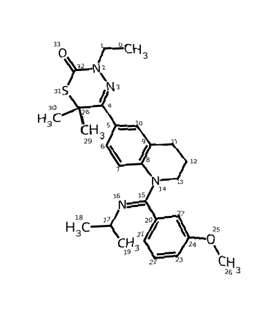 CCN1N=C(c2ccc3c(c2)CCCN3C(=NC(C)C)c2cccc(OC)c2)C(C)(C)SC1=O